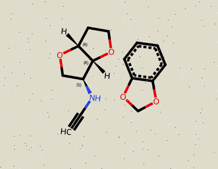 C#CN[C@H]1CO[C@@H]2CCO[C@H]12.c1ccc2c(c1)OCO2